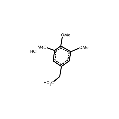 COc1cc(CC(=O)O)cc(OC)c1OC.Cl